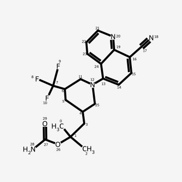 CC(C)(CC1CC(C(F)(F)F)CN(c2ccc(C#N)c3ncccc23)C1)OC(N)=O